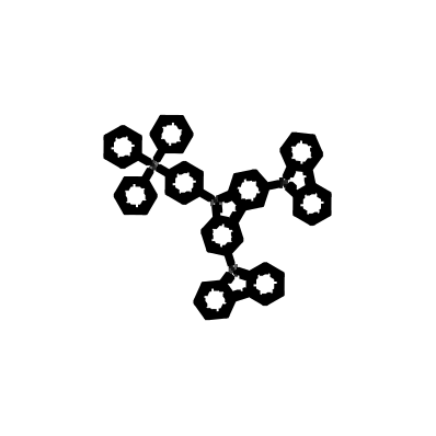 c1ccc([Si](c2ccccc2)(c2ccccc2)c2ccc(-n3c4ccc(-n5c6ccccc6c6ccccc65)cc4c4cc(-n5c6ccccc6c6ccccc65)ccc43)cc2)cc1